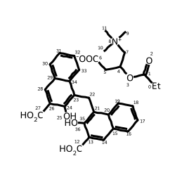 CCC(=O)OC(CC(=O)[O-])C[N+](C)(C)C.O=C(O)c1cc2ccccc2c(Cc2c(O)c(C(=O)O)cc3ccccc23)c1O